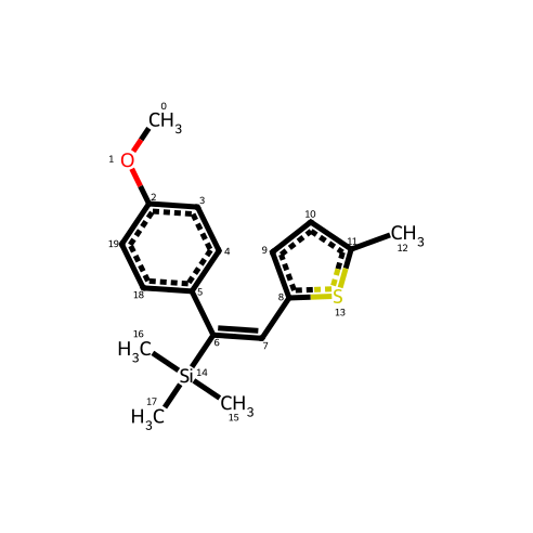 COc1ccc(/C(=C\c2ccc(C)s2)[Si](C)(C)C)cc1